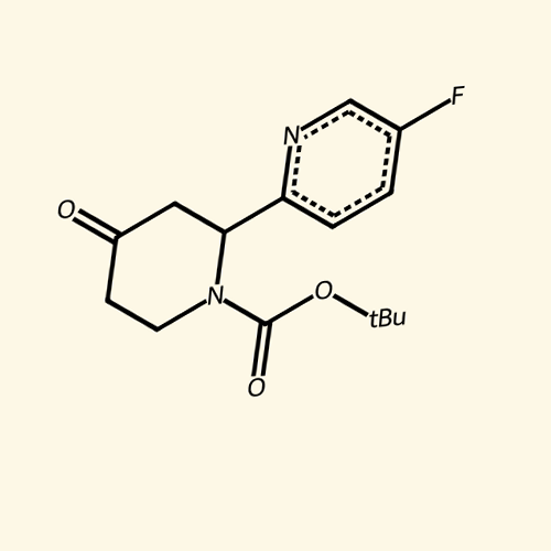 CC(C)(C)OC(=O)N1CCC(=O)CC1c1ccc(F)cn1